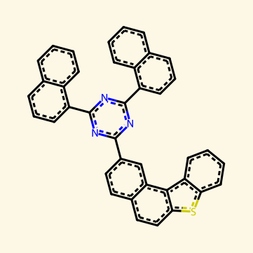 c1ccc2c(-c3nc(-c4ccc5ccc6sc7ccccc7c6c5c4)nc(-c4cccc5ccccc45)n3)cccc2c1